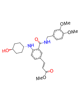 COC(=O)C=Cc1ccc(N[C@H]2CC[C@H](O)CC2)c(C(=O)NCc2ccc(OC)c(OC)c2)c1